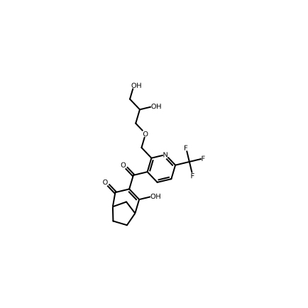 O=C(C1=C(O)C2CCC(C2)C1=O)c1ccc(C(F)(F)F)nc1COCC(O)CO